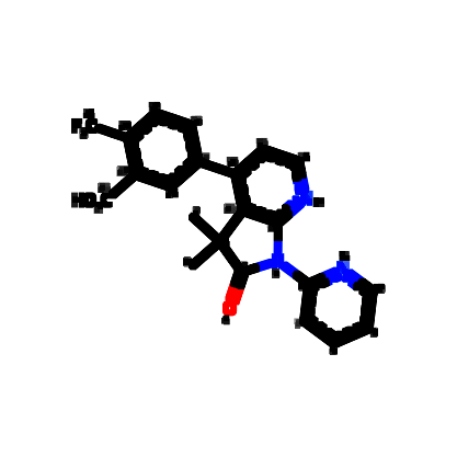 CC1(C)C(=O)N(c2ccccn2)c2nccc(-c3ccc(C(F)(F)F)c(C(=O)O)c3)c21